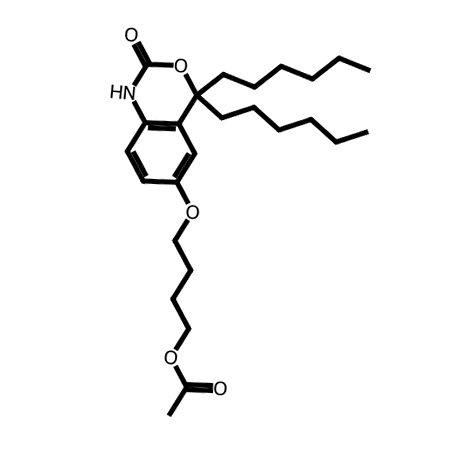 CCCCCCC1(CCCCCC)OC(=O)Nc2ccc(OCCCCOC(C)=O)cc21